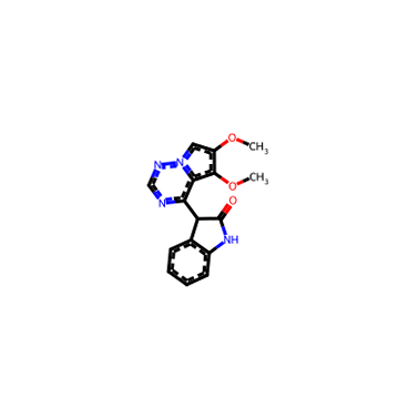 COc1cn2ncnc(C3C(=O)Nc4ccccc43)c2c1OC